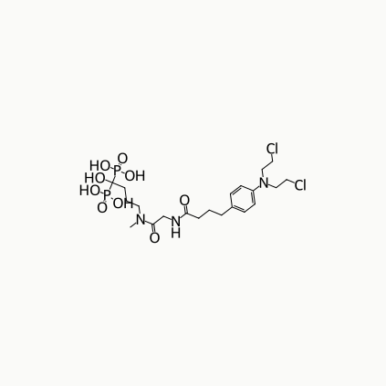 CN(CCCC(O)(P(=O)(O)O)P(=O)(O)O)C(=O)CNC(=O)CCCc1ccc(N(CCCl)CCCl)cc1